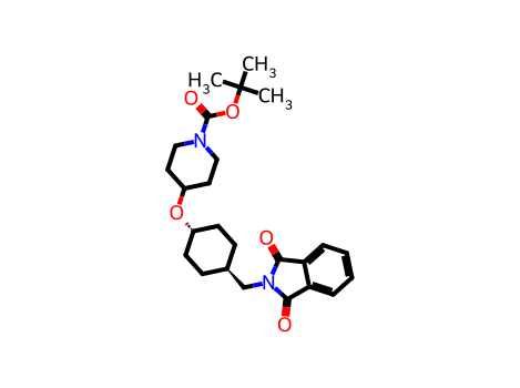 CC(C)(C)OC(=O)N1CCC(O[C@H]2CC[C@H](CN3C(=O)c4ccccc4C3=O)CC2)CC1